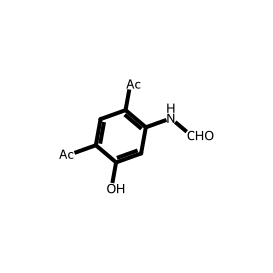 CC(=O)c1cc(C(C)=O)c(NC=O)cc1O